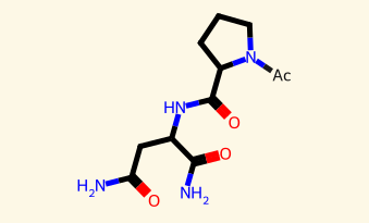 CC(=O)N1CCCC1C(=O)NC(CC(N)=O)C(N)=O